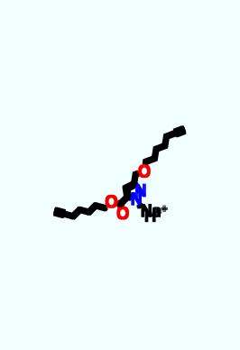 C#CCCCCCOCc1cc(C(=O)OCCCCCC#C)n(C)n1.[H-].[Na+]